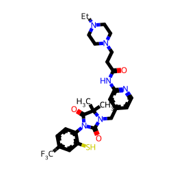 CCN1CCN(CCC(=O)Nc2cc(CN3C(=O)N(c4ccc(C(F)(F)F)cc4S)C(=O)C3(C)C)ccn2)CC1